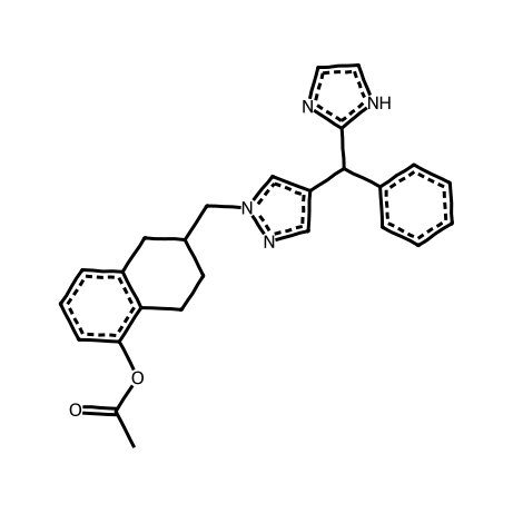 CC(=O)Oc1cccc2c1CCC(Cn1cc(C(c3ccccc3)c3ncc[nH]3)cn1)C2